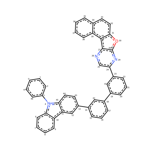 c1ccc(-n2c3ccccc3c3cc(-c4cccc(-c5cccc(-c6cnc7c(n6)oc6ccc8ccccc8c67)c5)c4)ccc32)cc1